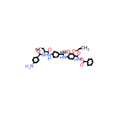 C=CCOc1c(C(=O)NOC(=O)c2ccccc2)ccc(NC(=O)c2ccc(NC(=O)C(CC#N)NC(=O)c3ccc(N)cc3)cc2)c1OC